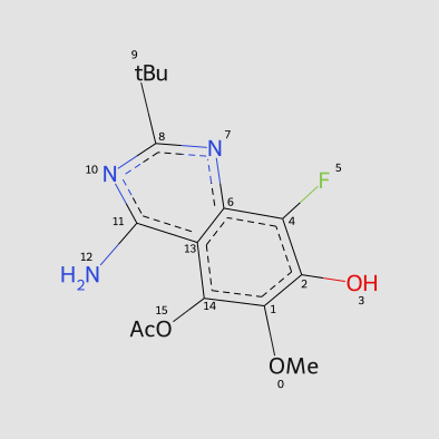 COc1c(O)c(F)c2nc(C(C)(C)C)nc(N)c2c1OC(C)=O